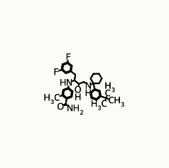 Cc1cc(NC(Cc2cc(F)cc(F)c2)C(O)CNC2(c3cccc(C(C)(C)C)c3)CCCCC2)ccc1C(N)=O